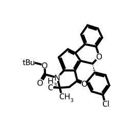 CC(C)(C)OC(=O)N1c2ccc3c(c2C(=O)CC1(C)C)[C@@H](c1ccc(Cl)cc1)Oc1ccccc1-3